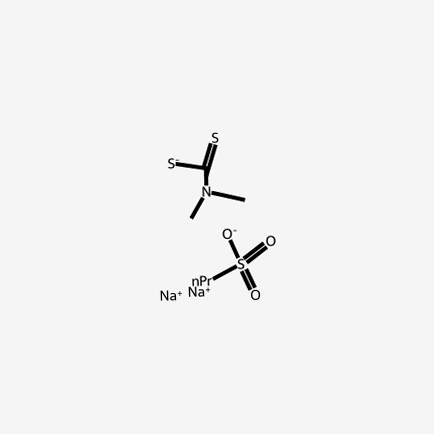 CCCS(=O)(=O)[O-].CN(C)C(=S)[S-].[Na+].[Na+]